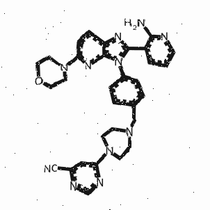 N#Cc1cc(N2CCN(Cc3ccc(-n4c(-c5cccnc5N)nc5ccc(N6CCOCC6)nc54)cc3)CC2)ncn1